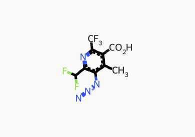 Cc1c(N=[N+]=[N-])c(C(F)F)nc(C(F)(F)F)c1C(=O)O